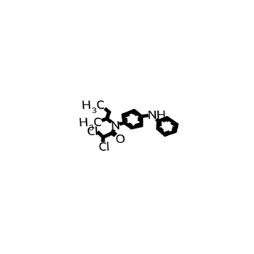 CCC(C)N(C(=O)C(Cl)Cl)c1ccc(Nc2ccccc2)cc1